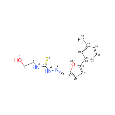 OCCNC(=S)NN=Cc1ccc(-c2cccc(C(F)(F)F)c2)o1